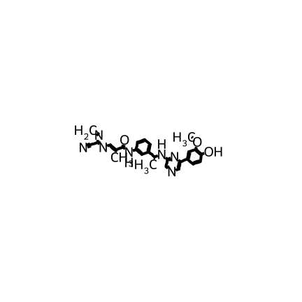 C=N/C(C#N)=N\C=C(/C)C(=O)Nc1cccc([C@H](C)Nc2cncc(-c3ccc(O)c(OC)c3)n2)c1